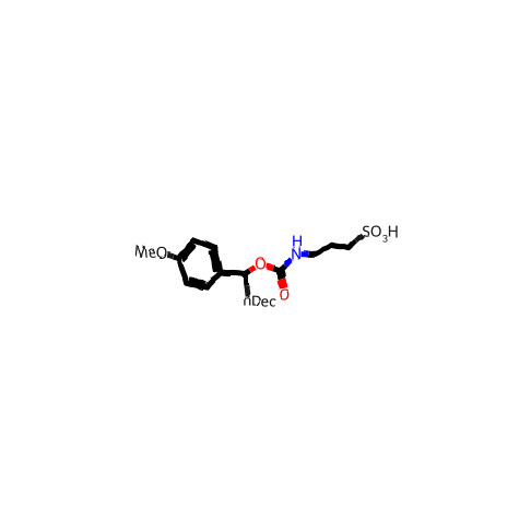 CCCCCCCCCCC(OC(=O)NCCCS(=O)(=O)O)c1ccc(OC)cc1